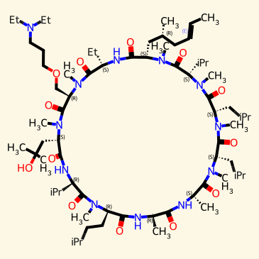 C/C=C/C[C@@H](C)C[C@H]1C(=O)N[C@@H](CC)C(=O)N(C)[C@H](COCCCN(CC)CC)C(=O)N(C)[C@@H](CC(C)(C)O)C(=O)N[C@H](C(C)C)C(=O)N(C)[C@H](CCC(C)C)C(=O)N[C@H](C)C(=O)N[C@@H](C)C(=O)N(C)[C@@H](CC(C)C)C(=O)N(C)[C@@H](CC(C)C)C(=O)N(C)[C@@H](C(C)C)C(=O)N1C